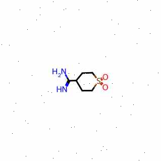 N=C(N)C1CCS(=O)(=O)CC1